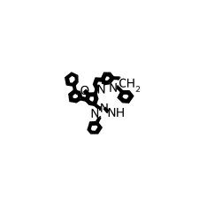 C=Cc1ccc2ccc(-c3cc(C(=N/C=N)/N=C/C4=CCCC=C4)cc4c3oc3c(C5=CCCC=C5)cccc34)nc2c1/N=C/c1ccccc1